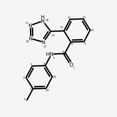 [CH2]c1ccc(NC(=O)c2ccccc2-c2nnn[nH]2)cc1